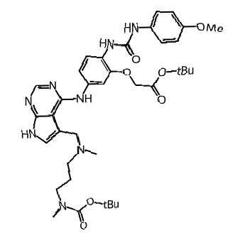 COc1ccc(NC(=O)Nc2ccc(Nc3ncnc4[nH]cc(CN(C)CCCN(C)C(=O)OC(C)(C)C)c34)cc2OCC(=O)OC(C)(C)C)cc1